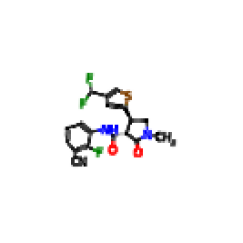 CN1C[C@H](c2cc(C(F)F)cs2)[C@@H](C(=O)Nc2cccc(C#N)c2F)C1=O